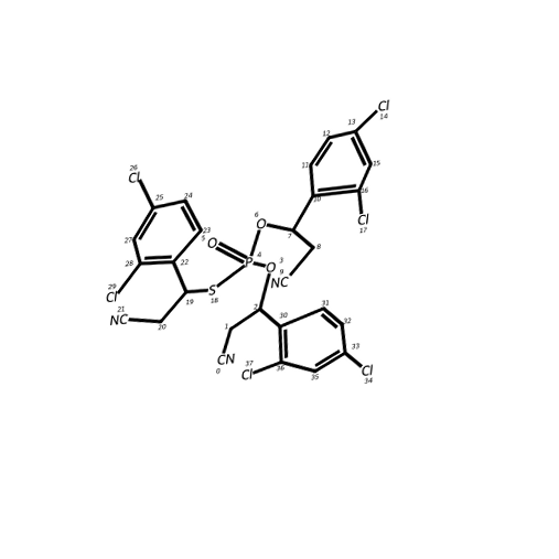 N#CCC(OP(=O)(OC(CC#N)c1ccc(Cl)cc1Cl)SC(CC#N)c1ccc(Cl)cc1Cl)c1ccc(Cl)cc1Cl